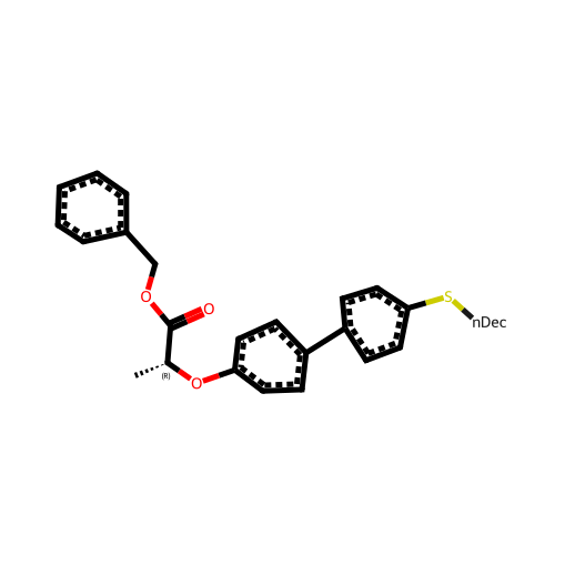 CCCCCCCCCCSc1ccc(-c2ccc(O[C@H](C)C(=O)OCc3ccccc3)cc2)cc1